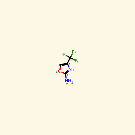 Nc1nc(C(F)(F)F)co1